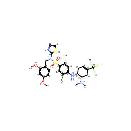 COc1ccc(CN(c2nccs2)S(=O)(=O)c2cc(Cl)c(N[C@H]3CC=C(C(F)(F)F)C[C@@H]3N(C)C)cc2F)c(OC)c1